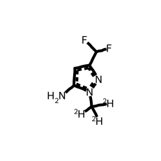 [2H]C([2H])([2H])n1nc(C(F)F)cc1N